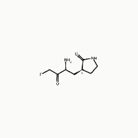 NC(C[C@@H]1CCNC1=O)C(=O)CF